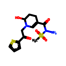 CS(=O)(=O)N(N)C(=O)C1=CN(CC(=O)c2cccs2)C(O)CC1